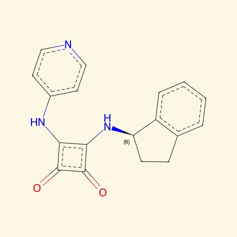 O=c1c(Nc2ccncc2)c(N[C@@H]2CCc3ccccc32)c1=O